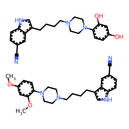 COc1ccc(N2CCN(CCCCc3c[nH]c4ccc(C#N)cc34)CC2)c(OC)c1.N#Cc1ccc2[nH]cc(CCCCN3CCN(c4ccc(O)cc4O)CC3)c2c1